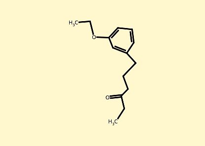 CCOc1cccc(CCCC(=O)CC)c1